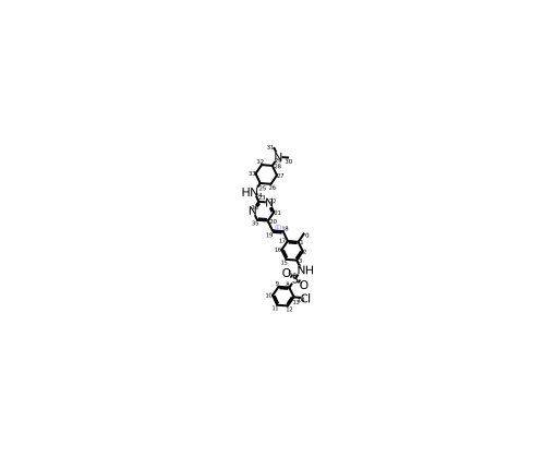 Cc1cc(NS(=O)(=O)c2ccccc2Cl)ccc1/C=C/c1cnc(NC2CCC(N(C)C)CC2)nc1